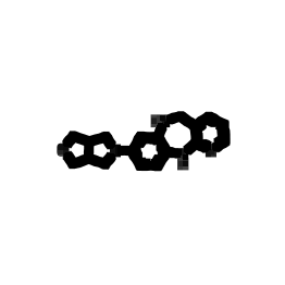 c1cnc2c(c1)CNc1cc(N3CC4COCC4C3)ccc1N2